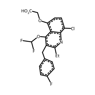 CCc1nc2c(Cl)ccc(OCC(=O)O)c2c(OC(F)F)c1Cc1ccc(F)cc1